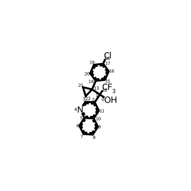 OC(c1cnc2ccccc2c1)(C(F)(F)F)C1(c2ccc(Cl)cc2)CC1